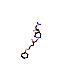 CN(C)Cc1cc2c(o1)CN(CC(=O)CCCSc1ccccc1)CC2